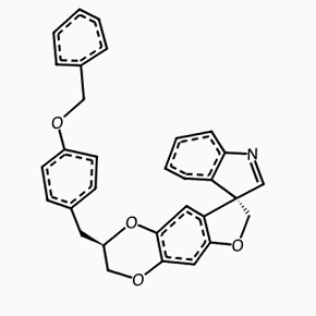 C1=Nc2ccccc2[C@@]12COc1cc3c(cc12)O[C@H](Cc1ccc(OCc2ccccc2)cc1)CO3